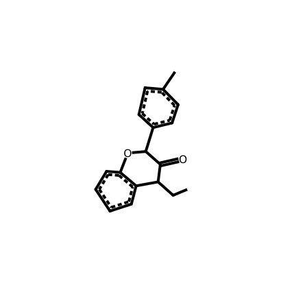 CCC1C(=O)C(c2ccc(C)cc2)Oc2ccccc21